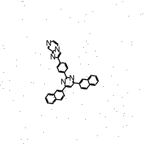 c1ccc2cc(-c3cc(-c4ccc5ccccc5c4)nc(-c4ccc(-c5cn6ccncc6n5)cc4)n3)ccc2c1